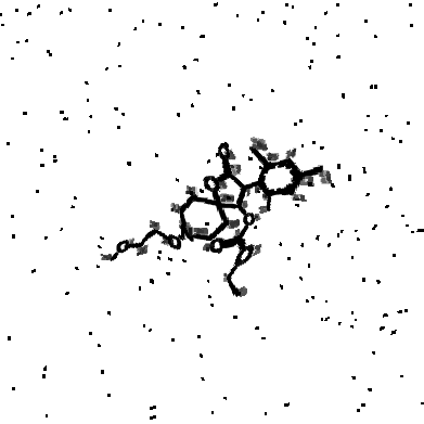 CCOC(=O)OC1=C(c2c(C)cc(C)cc2C)C(=O)OC12CCN(OCCOC)CC2